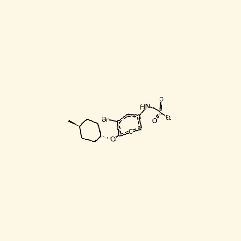 CCS(=O)(=O)Nc1ccc(O[C@H]2CC[C@H](C)CC2)c(Br)c1